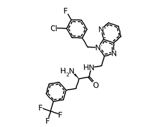 N[C@H](Cc1cccc(C(F)(F)F)c1)C(=O)NCc1nc2cccnc2n1Cc1ccc(F)c(Cl)c1